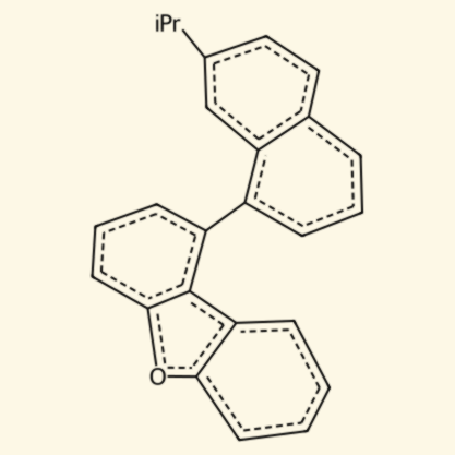 CC(C)c1ccc2cccc(-c3cccc4oc5ccccc5c34)c2c1